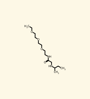 CCOCCOCCOCCNC(=O)CNC(C)CC